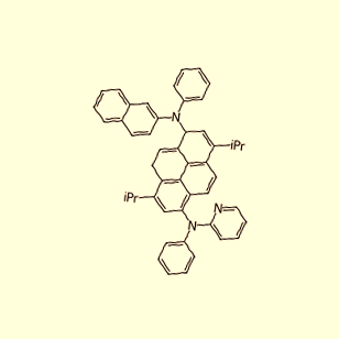 CC(C)C1=CC(N(c2ccccc2)c2ccc3ccccc3c2)C2=CCc3c(C(C)C)cc(N(c4ccccc4)c4ccccn4)c4ccc1c2c34